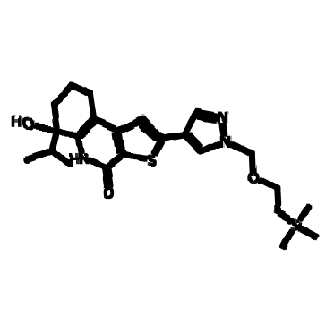 CC(C)C1(O)CCCc2c1[nH]c(=O)c1sc(-c3cnn(COCC[Si](C)(C)C)c3)cc21